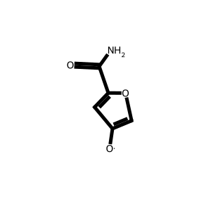 NC(=O)c1cc([O])co1